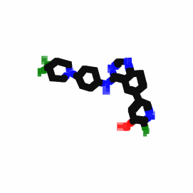 Oc1cc(-c2ccc3ncnc(NC4CCC(N5CCC(F)(F)CC5)CC4)c3c2)cnc1F